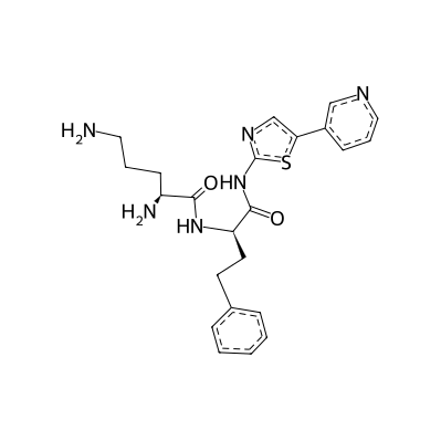 NCCC[C@H](N)C(=O)N[C@H](CCc1ccccc1)C(=O)Nc1ncc(-c2cccnc2)s1